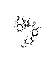 CC(=O)N1CCN(c2ccc(C)c(C(=O)NC(C)c3cccc4ccccc34)c2)CC1